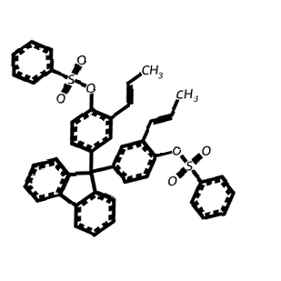 CC=Cc1cc(C2(c3ccc(OS(=O)(=O)c4ccccc4)c(C=CC)c3)c3ccccc3-c3ccccc32)ccc1OS(=O)(=O)c1ccccc1